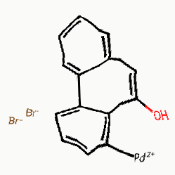 Oc1cc2ccccc2c2ccc[c]([Pd+2])c12.[Br-].[Br-]